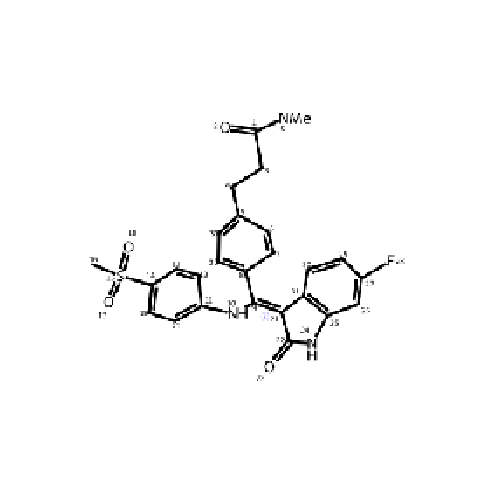 CNC(=O)CCc1ccc(/C(Nc2ccc(S(C)(=O)=O)cc2)=C2/C(=O)Nc3cc(F)ccc32)cc1